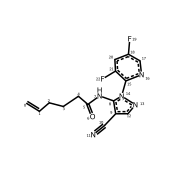 C=CCCCC(=O)Nc1c(C#N)cnn1-c1ncc(F)cc1F